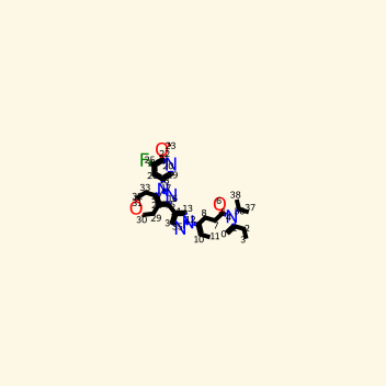 C=C(CC)N(C(=O)CC/C(=C\C)n1cc(-c2nn(-c3cnc(OC)c(F)c3)c3c2CCOCC3)cn1)C(C)C